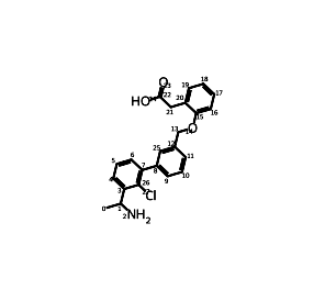 CC(N)c1cccc(-c2cccc(COc3ccccc3CC(=O)O)c2)c1Cl